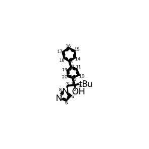 CC(C)(C)C(O)(Cn1ccnc1)c1ccc(-c2ccccc2)cc1